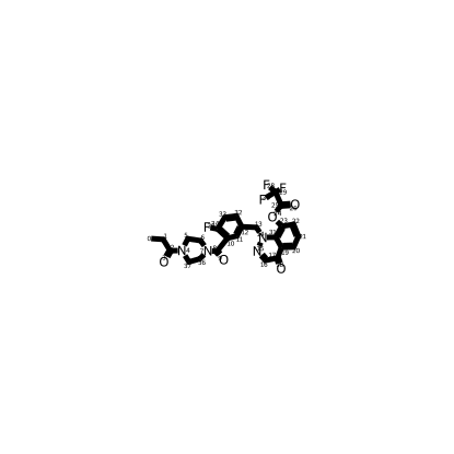 CCC(=O)N1CCN(C(=O)c2cc(Cn3ncc(=O)c4cccc(OC(=O)C(F)(F)F)c43)ccc2F)CC1